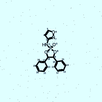 O=P1(Nc2ccon2)OC(c2ccccc2)C(c2ccccc2)O1